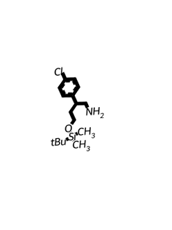 CC(C)(C)[Si](C)(C)OCCC(CN)c1ccc(Cl)cc1